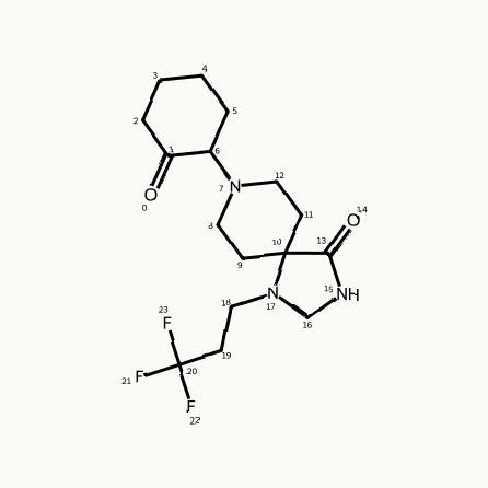 O=C1CCCCC1N1CCC2(CC1)C(=O)NCN2CCC(F)(F)F